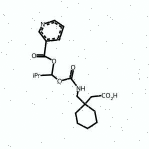 CC(C)C(OC(=O)NCC1(CC(=O)O)CCCCC1)OC(=O)c1cccnc1